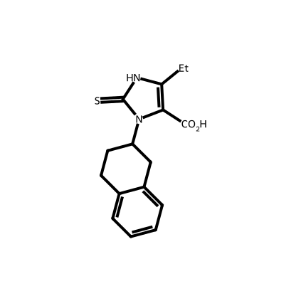 CCc1[nH]c(=S)n(C2CCc3ccccc3C2)c1C(=O)O